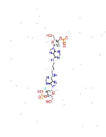 O=[PH](O)O[C@@H]1C(CO)O[C@@H](n2cnc3c(NC/C=C/CNc4ncnc5c4ncn5[C@@H]4OC(CO)[C@@H](O[PH](=O)O)[C@H]4F)ncnc32)[C@@H]1F